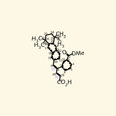 COC(=O)c1cccc(C(=C\c2ccc3cc4c(cc3c2)C(C)(C)CCC4(C)C)/C=C/C(=O)O)c1